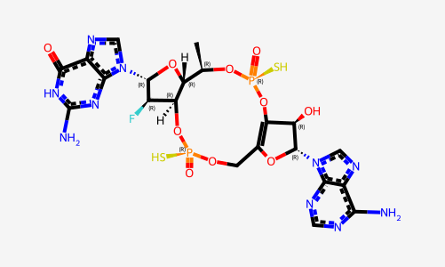 C[C@H]1O[P@@](=O)(S)OC2=C(CO[P@@](=O)(S)O[C@H]3[C@@H](F)[C@H](n4cnc5c(=O)[nH]c(N)nc54)O[C@@H]31)O[C@@H](n1cnc3c(N)ncnc31)[C@@H]2O